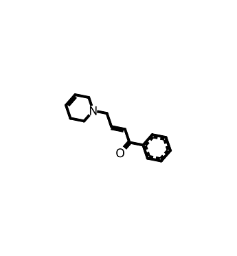 O=C(C=CCN1CC=CCC1)c1ccccc1